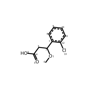 COC(CC(=O)O)c1ccccc1Cl